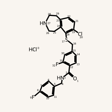 Cl.O=C(NCc1ccc(F)cc1)c1ccc(CSc2c(Cl)ccc3c2CCNCC3)cc1F